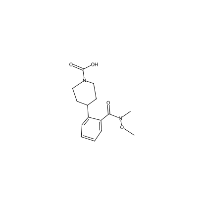 CON(C)C(=O)c1ccccc1C1CCN(C(=O)O)CC1